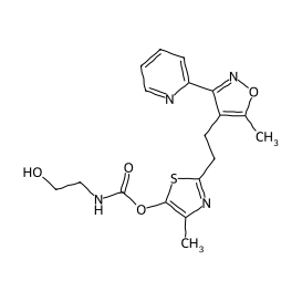 Cc1nc(CCc2c(-c3ccccn3)noc2C)sc1OC(=O)NCCO